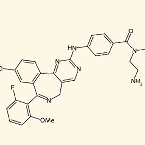 COc1cccc(F)c1C1=NCc2cnc(Nc3ccc(C(=O)N(C)CCN)cc3)nc2-c2ccc(Cl)cc21